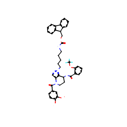 COc1ccc(C(=O)N2CCC(NC(=O)c3ccccc3OC(F)(F)F)c3c2cnn3CCCCCNC(=O)OCC2c3ccccc3-c3ccccc32)cc1OC